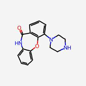 O=C1Nc2ccccc2Oc2c1cccc2N1CCNCC1